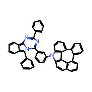 c1ccc(-c2nc(-c3cccc(-n4c5cccc6c5c5c7c(cccc7ccc54)-c4ccccc4-6)c3)n3c(-c4ccccc4)c4ccccc4c3n2)cc1